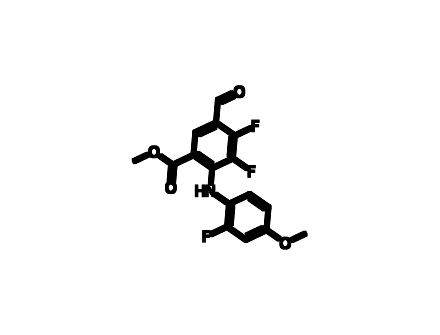 COC(=O)c1cc(C=O)c(F)c(F)c1Nc1ccc(OC)cc1F